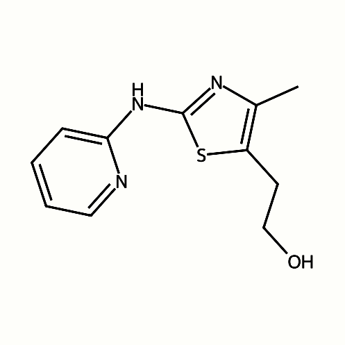 Cc1nc(Nc2ccccn2)sc1CCO